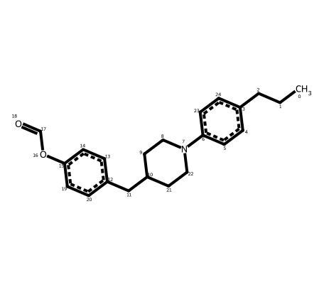 CCCc1ccc(N2CCC(Cc3ccc(OC=O)cc3)CC2)cc1